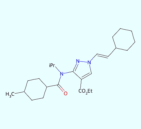 CCOC(=O)c1cn(C=CC2CCCCC2)nc1N(C(=O)C1CCC(C)CC1)C(C)C